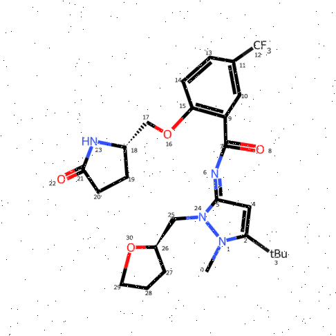 Cn1c(C(C)(C)C)c/c(=N\C(=O)c2cc(C(F)(F)F)ccc2OC[C@@H]2CCC(=O)N2)n1C[C@H]1CCCO1